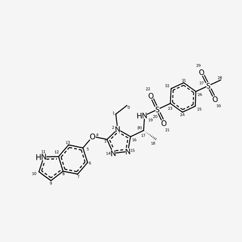 CCn1c(Oc2ccc3cc[nH]c3c2)nnc1[C@@H](C)NS(=O)(=O)c1ccc(S(C)(=O)=O)cc1